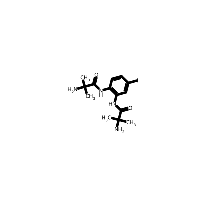 CC(C)(N)C(=O)Nc1ccc(I)cc1NC(=O)C(C)(C)N